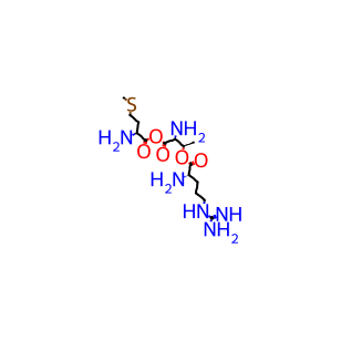 CSCC[C@H](N)C(=O)OC(=O)[C@@H](N)[C@@H](C)OC(=O)[C@@H](N)CCCNC(=N)N